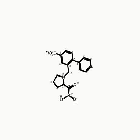 CCOC(=O)c1ccc(-c2ccccc2)c(CN2CCCC2C(=O)N(CC)CC)c1